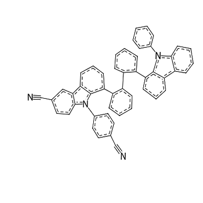 N#Cc1ccc(-n2c3ccc(C#N)cc3c3cccc(-c4ccccc4-c4ccccc4-c4cccc5c6ccccc6n(-c6ccccc6)c45)c32)cc1